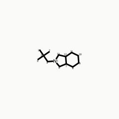 CC(C)(C)CN1CC2CCCCC2C1